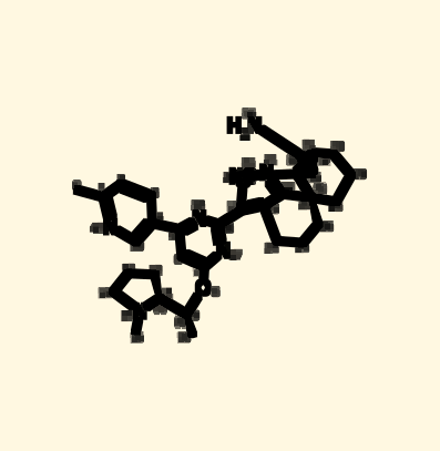 Cc1ccc(-c2cc(O[C@@H](C)[C@@H]3CCCN3C)nc(-c3onc4c3CCC[C@@]43CCCc4sc(N)c(C#N)c43)n2)cn1